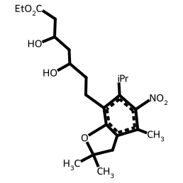 CCOC(=O)CC(O)CC(O)CCc1c2c(c(C)c([N+](=O)[O-])c1C(C)C)CC(C)(C)O2